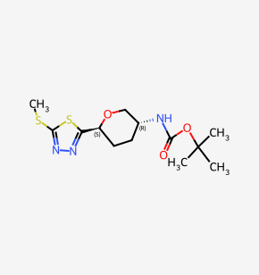 CSc1nnc([C@@H]2CC[C@@H](NC(=O)OC(C)(C)C)CO2)s1